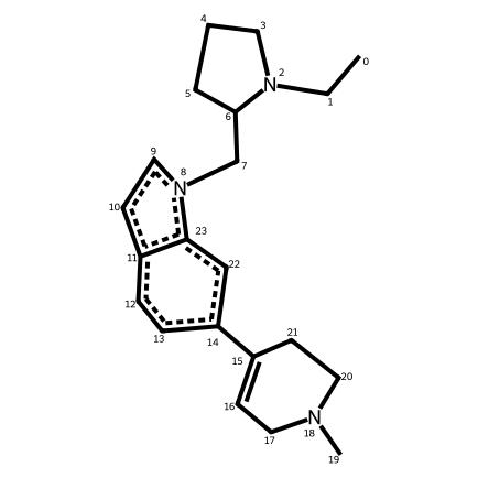 CCN1CCCC1Cn1ccc2ccc(C3=CCN(C)CC3)cc21